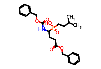 CC(C)CCP(=O)(O)C(CCC(=O)OCc1ccccc1)NC(=O)OCc1ccccc1